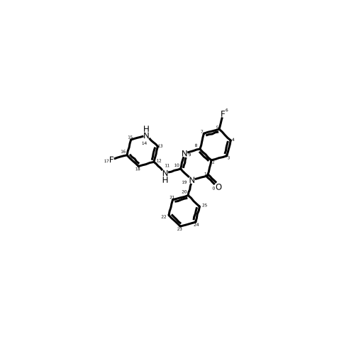 O=c1c2ccc(F)cc2nc(NC2=CNCC(F)=C2)n1-c1ccccc1